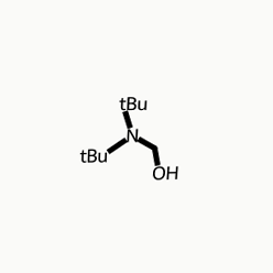 CC(C)(C)N(CO)C(C)(C)C